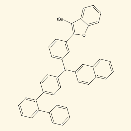 CC(C)(C)c1c(-c2cccc(N(c3ccc(-c4ccccc4-c4ccccc4)cc3)c3ccc4ccccc4c3)c2)oc2ccccc12